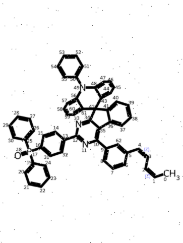 C/C=C\C=C/c1cccc(-c2nc(-c3ccc(P(=O)(c4ccccc4)c4ccccc4)cc3)nc3c2-c2ccccc2C32c3ccccc3N(c3ccccc3)c3ccccc32)c1